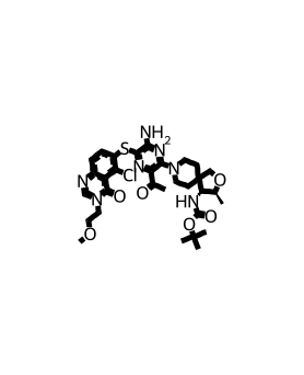 COCCn1cnc2ccc(Sc3nc(C(C)=O)c(N4CCC5(CC4)CO[C@@H](C)[C@H]5NC(=O)OC(C)(C)C)nc3N)c(Cl)c2c1=O